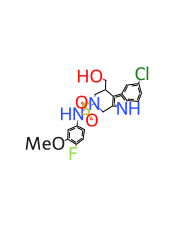 COc1cc(NS(=O)(=O)N2Cc3[nH]c4ccc(Cl)cc4c3C(CO)C2)ccc1F